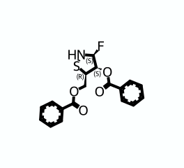 O=C(OC[C@H]1SN[C@@H](F)[C@@H]1OC(=O)c1ccccc1)c1ccccc1